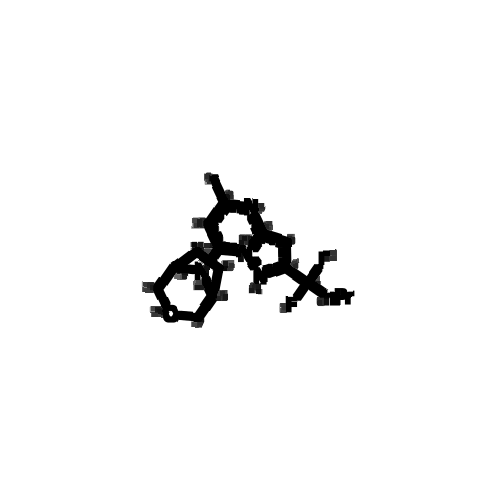 CCCC(F)(F)c1cc2nc(C)cc(N3C4CCC3COC4)n2n1